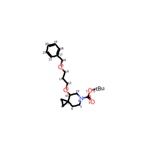 CC(C)(C)OC(=O)N1CCC2(CC2)C(OCCCOCc2ccccc2)C1